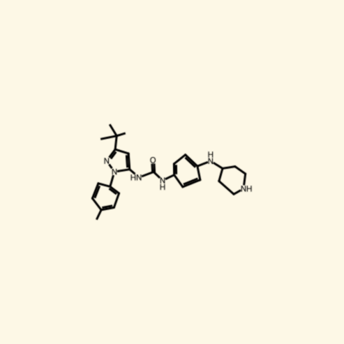 Cc1ccc(-n2nc(C(C)(C)C)cc2NC(=O)Nc2ccc(NC3CCNCC3)cc2)cc1